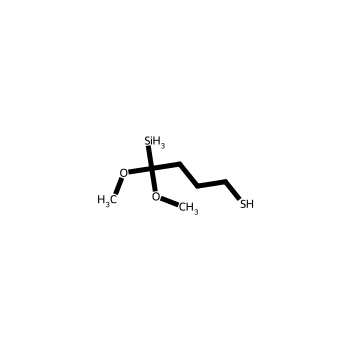 COC([SiH3])(CCCS)OC